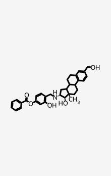 C[C@]12CCC3c4ccc(CO)cc4CCC3C1C[C@@H](NCc1ccc(OC(=O)c3ccccc3)cc1O)[C@@H]2O